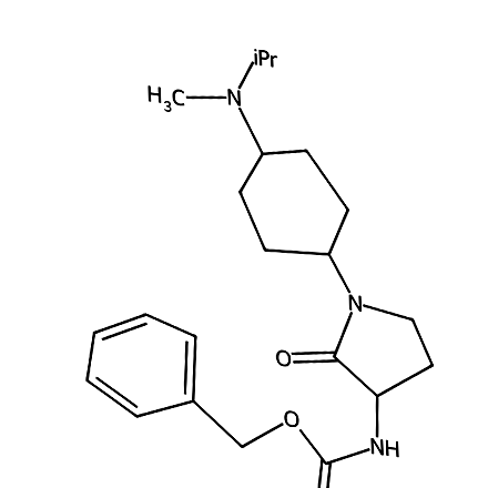 CC(C)N(C)C1CCC(N2CCC(NC(=O)OCc3ccccc3)C2=O)CC1